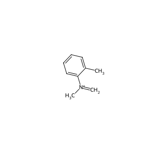 C=[N+](C)c1ccccc1C